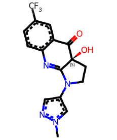 Cn1cc(N2CC[C@@]3(O)C(=O)c4cc(C(F)(F)F)ccc4N=C23)cn1